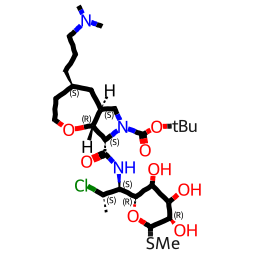 CSC1O[C@H]([C@H](NC(=O)[C@@H]2[C@@H]3OCC[C@@H](CCCN(C)C)C[C@H]3CN2C(=O)OC(C)(C)C)[C@H](C)Cl)C(O)C(O)[C@H]1O